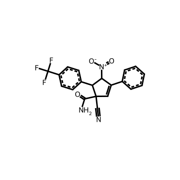 N#CC1(C(N)=O)C=C(c2ccccc2)C([N+](=O)[O-])C1c1ccc(C(F)(F)F)cc1